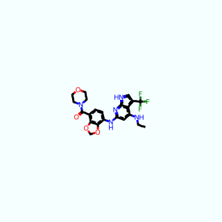 CCNc1cc(Nc2ccc(C(=O)N3CCOCC3)c3c2OCO3)nc2[nH]cc(C(F)(F)F)c12